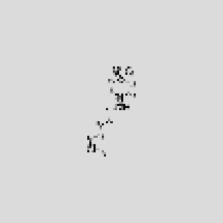 CCCCCCNN1CCS(=O)(=O)CC1